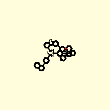 c1ccc(-n2c3ccccc3c3cc(-c4ccc5oc6cccc(-c7nc(-c8ccc(-c9cccc%10ccccc9%10)cc8)nc(-c8ccc(-c9cccc%10ccccc9%10)cc8)n7)c6c5c4)ccc32)cc1